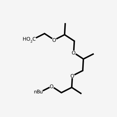 CCCCOCC(C)OCC(C)OCC(C)OCC(=O)O